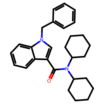 O=C(c1cn(Cc2ccccc2)c2ccccc12)N(C1CCCCC1)C1CCCCC1